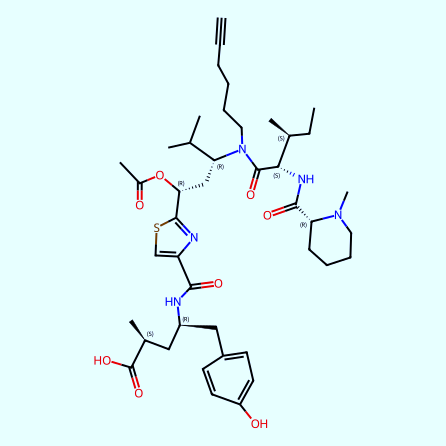 C#CCCCCN(C(=O)[C@@H](NC(=O)[C@H]1CCCCN1C)[C@@H](C)CC)[C@H](C[C@@H](OC(C)=O)c1nc(C(=O)N[C@@H](Cc2ccc(O)cc2)C[C@H](C)C(=O)O)cs1)C(C)C